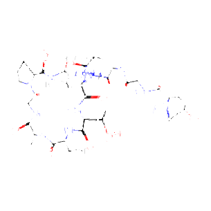 CCCCC[C@H](NC(=O)[C@@H]1CCCN1C(=O)CNC(=O)[C@H](C)NC(=O)[C@H](CC(C)C)NC(=O)[C@@H](NC(=O)[C@H](CC(=O)O)NC(=O)[C@H](CCC(N)=O)NC(=O)CNC(=O)[C@@H]1C[C@@H](O)CN1)C(C)O)C(=O)O